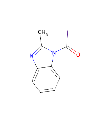 Cc1nc2ccccc2n1C(=O)I